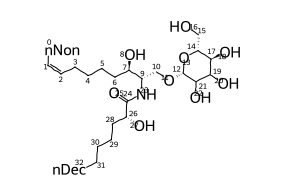 CCCCCCCCC/C=C\CCCC[C@@H](O)[C@H](CO[C@@H]1O[C@H](CO)[C@@H](O)C(O)C1O)NC(=O)[C@H](O)CCCCCCCCCCCCCC